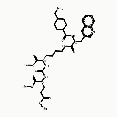 CC(C)(C)OC(=O)CC[C@H](NC(=O)N[C@@H](CCCCNC(=O)[C@H](Cc1cnc2ccccc2c1)NC(=O)C1CCC(CN)CC1)C(=O)OC(C)(C)C)C(=O)OC(C)(C)C